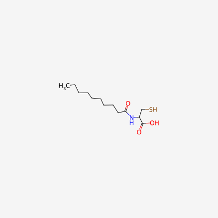 CCCCCCCCCC(=O)NC(CS)C(=O)O